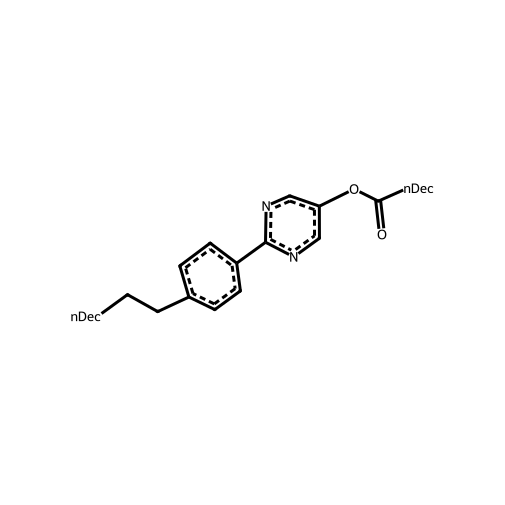 CCCCCCCCCCCCc1ccc(-c2ncc(OC(=O)CCCCCCCCCC)cn2)cc1